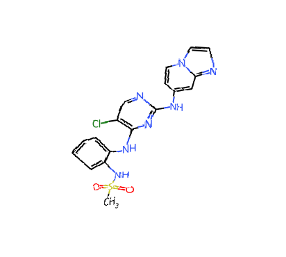 CS(=O)(=O)Nc1ccccc1Nc1nc(Nc2ccn3ccnc3c2)ncc1Cl